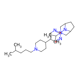 CC(C)CCCN1CCC(c2cnc(N3C4CCC3CN(C(C)C)C4)nc2)CC1